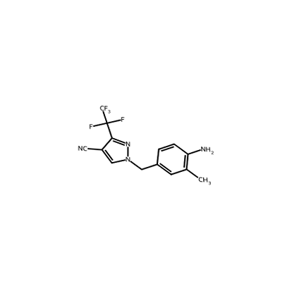 Cc1cc(Cn2cc(C#N)c(C(F)(F)C(F)(F)F)n2)ccc1N